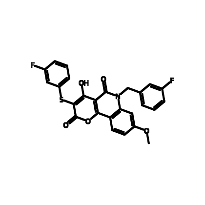 COc1ccc2c3oc(=O)c(Sc4cccc(F)c4)c(O)c3c(=O)n(Cc3cccc(F)c3)c2c1